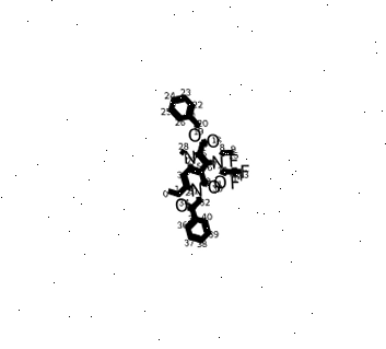 CCc1cc2c(c(N(CC)C(=O)C(F)(F)F)c(C(=O)OCc3ccccc3)n2C)c(=O)n1CC(=O)c1ccccc1